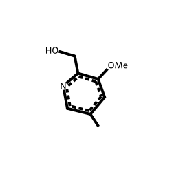 COc1cc(C)cnc1CO